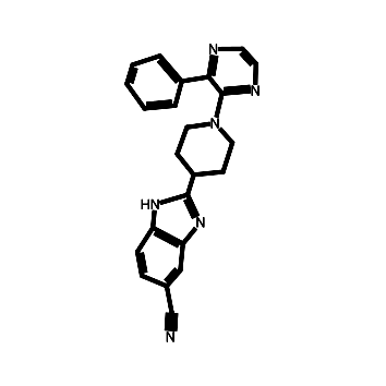 N#Cc1ccc2[nH]c(C3CCN(c4nccnc4-c4ccccc4)CC3)nc2c1